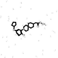 COC(=O)CC1CCC2(CC1)CCN(c1cc(OC3CCCC3)ccc1Cl)CC2